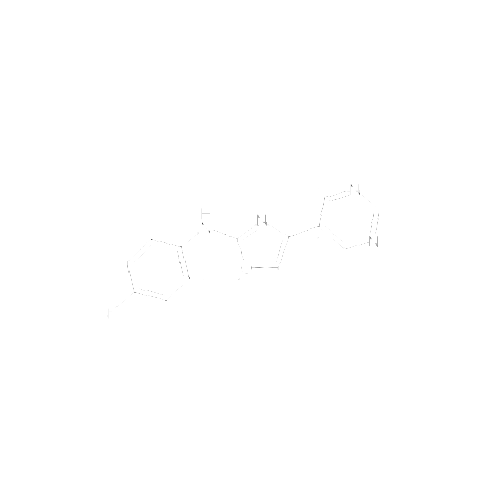 Ic1ccc(Nc2nc(-c3cncnc3)co2)cc1